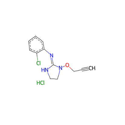 C#CCON1CCN/C1=N\c1ccccc1Cl.Cl